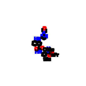 CCCS(=O)(=O)Nc1cc(C(C)(C)C)cc(NC(=O)C(=O)c2ccc(Nc3ccnc(N4CCOCC4)n3)c3ccccc23)c1OC